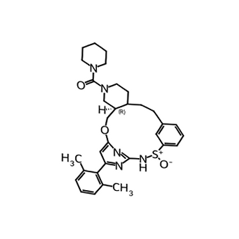 Cc1cccc(C)c1-c1cc2nc(n1)N[S+]([O-])c1cccc(c1)CCC1CCN(C(=O)N3CCCCC3)C[C@@H]1CO2